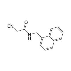 [C-]#[N+]CC(=O)NCc1cccc2ccccc12